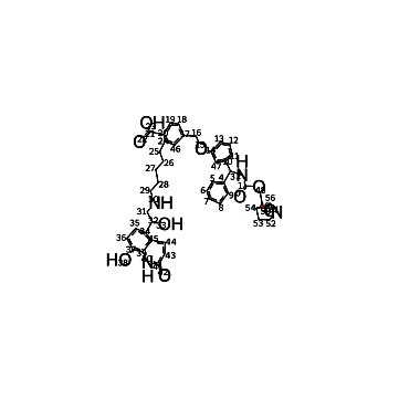 O=C(NC(c1ccccc1)c1cccc(OCc2ccc(C(=O)O)c(CCCCCNCC(O)c3ccc(O)c4[nH]c(=O)ccc34)c2)c1)OC1CN2CCC1CC2